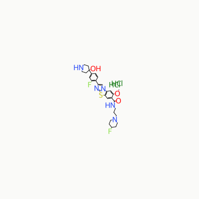 COc1cc2c(cc1C(=O)NCCCN1CCC(F)CC1)sc1nc(-c3ccc(C4(O)CCNCC4)cc3F)cn12.Cl.Cl